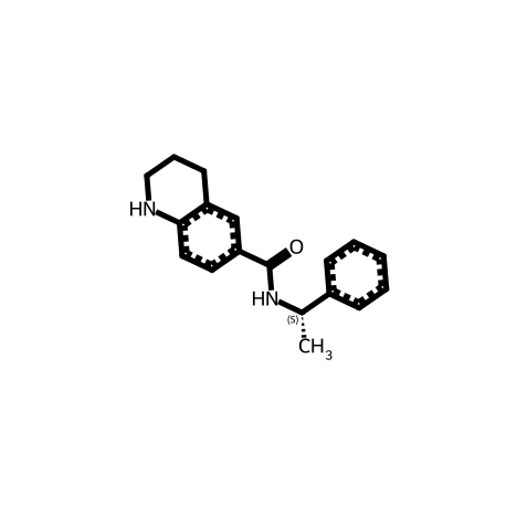 C[C@H](NC(=O)c1ccc2c(c1)CCCN2)c1ccccc1